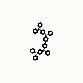 C1=CC(N(c2ccccc2)c2ccc(N(C3=CCCC=C3)c3ccc(-c4ccc(N(c5ccccc5)c5ccc(N(c6ccccc6)c6ccccc6)cc5)cc4)cc3)cc2)=CCC1